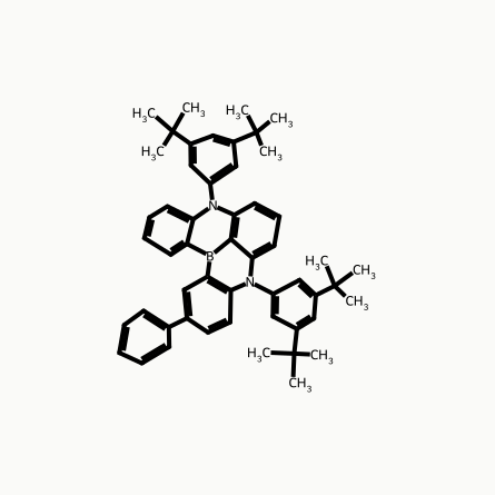 CC(C)(C)c1cc(N2c3ccccc3B3c4cc(-c5ccccc5)ccc4N(c4cc(C(C)(C)C)cc(C(C)(C)C)c4)c4cccc2c43)cc(C(C)(C)C)c1